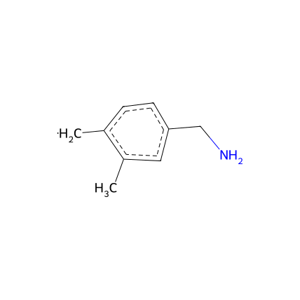 [CH2]c1ccc(CN)cc1C